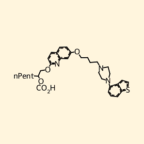 CCCCCC(COc1ccc2ccc(OCCCCN3CCN(c4cccc5sccc45)CC3)cc2n1)OC(=O)O